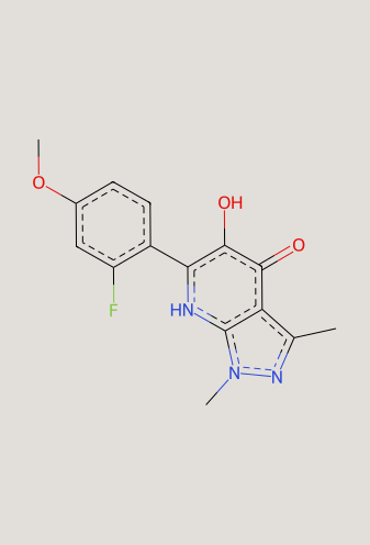 COc1ccc(-c2[nH]c3c(c(C)nn3C)c(=O)c2O)c(F)c1